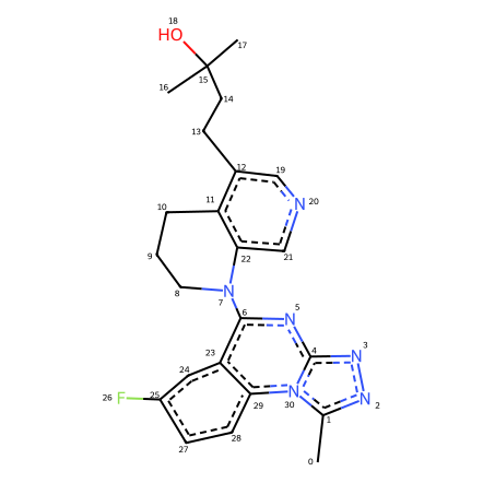 Cc1nnc2nc(N3CCCc4c(CCC(C)(C)O)cncc43)c3cc(F)ccc3n12